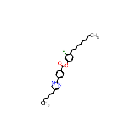 CCCCCCCCc1ccc(OC(=O)c2ccc(-c3ncc(CCCCC)cn3)cc2)cc1F